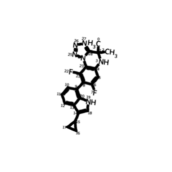 CC1(C)Nc2cc(F)c(-c3cccc4c(C5CC5)c[nH]c34)c(F)c2-n2nnnc21